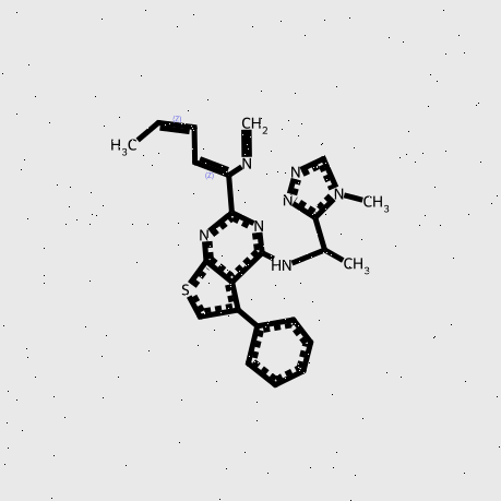 C=N/C(=C\C=C/C)c1nc(NC(C)c2nncn2C)c2c(-c3ccccc3)csc2n1